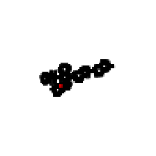 Cc1ccc2cc(-c3ccc4cc(-c5c6ccccc6c(-c6nc7ccccc7n6-c6ccccc6)c6ccccc56)ccc4c3)ccc2c1